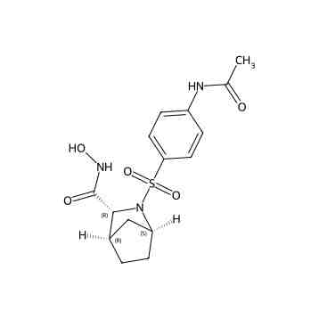 CC(=O)Nc1ccc(S(=O)(=O)N2[C@H]3CC[C@H](C3)[C@@H]2C(=O)NO)cc1